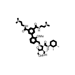 COc1c(CN2O[C@@H](CO)[C@H]([C@H](C)O)[C@H]2C(=O)N[C@H]2CCC[C@H](C)[C@@H]2C)cccc1-c1cc(C(=O)NCCN(C)C)cc(C(=O)NCCN(C)C)c1